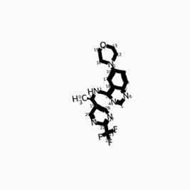 C[C@@H](Nc1ncnc2ccc(N3CCOCC3)cc12)c1cnc(C(F)(F)F)nc1